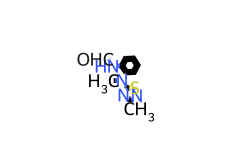 Cc1nsc(N(C)c2ccccc2NC=O)n1